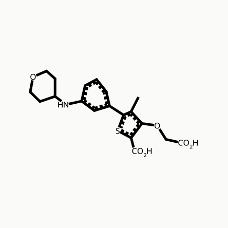 Cc1c(-c2cccc(NC3CCOCC3)c2)sc(C(=O)O)c1OCC(=O)O